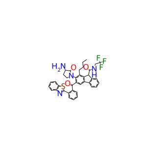 CCCCc1c2c(cc(C(=O)c3ccccc3-c3nc4ccccc4s3)c1N1CCC(N)C1=O)-c1ccccc1C2C(=O)NCC(F)(F)F